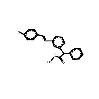 O=C(NO)C(c1ccccc1)c1cccc(/C=C/c2ccc(Cl)cc2)c1